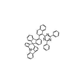 c1ccc(-c2nc(-c3ccccc3)nc(-c3c(-c4cccc5c4-c4ccccc4C54c5ccccc5-n5c6ccccc6c6cccc4c65)ccc4ccccc34)n2)cc1